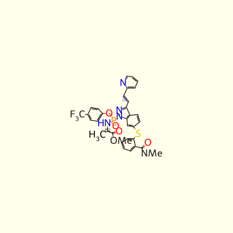 CNC(=O)c1ccccc1Sc1ccc2c(/C=C/c3ccccn3)nn(P(=O)(N[C@@H](C)C(=O)OC)Oc3ccc(C(F)(F)F)cc3)c2c1